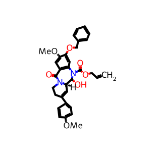 C=CCOC(=O)N1c2cc(OCc3ccccc3)c(OC)cc2C(=O)N2CCC(c3ccc(OC)cc3)=C[C@H]2C1O